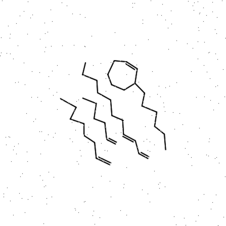 C=CC=CCCCCCCC.C=CCCCC.C=CCCCCCC.CCCCCCC1C=CCCCC1